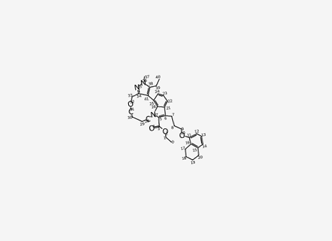 CCOC(=O)c1c(CCCOc2cccc3c2CCCC3)c2cccc3c2n1CCCCOCc1nn(C)c(CC)c1-3